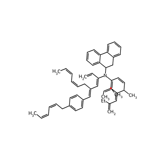 C=C/C(=C\C(=C\c1ccc(C/C=C\C=C/C)cc1)C/C=C\C=C/C)N(C(/C=C\C(C)C(/C=C\C)=C/C(=C)CC)=C/C)C1Cc2ccccc2-c2ccccc21